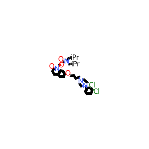 CC(C)CN(CC(C)C)C(=O)OCN1C(=O)CCc2ccc(OCCCCN3CCN(c4cccc(Cl)c4Cl)CC3)cc21